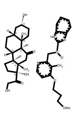 COCCCOc1ccnc(C[S+]([O-])c2nc3ccccc3[nH]2)c1C.C[C@]12CC[C@@H](O)C[C@H]1CC[C@@H]1[C@@H]2C(=O)C[C@@]2(C)[C@H]1CC[C@]2(O)C(=O)CO